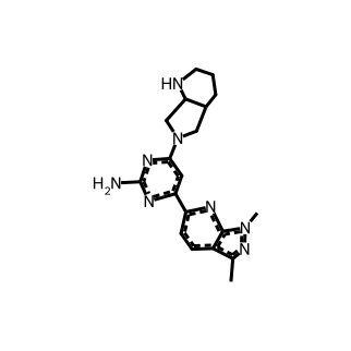 Cc1nn(C)c2nc(-c3cc(N4CC5CCCNC5C4)nc(N)n3)ccc12